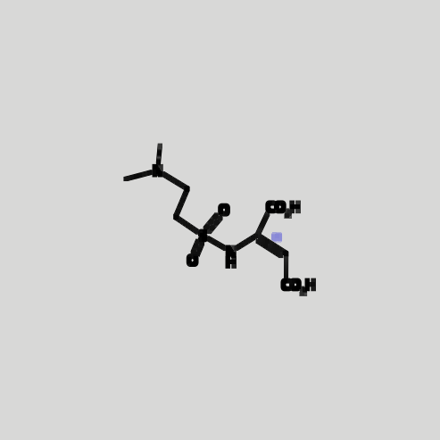 CN(C)CCS(=O)(=O)N/C(=C\C(=O)O)C(=O)O